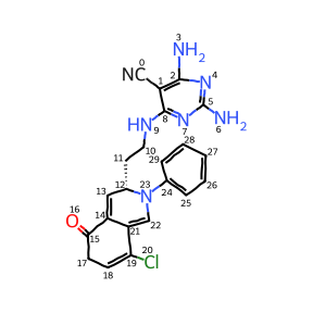 N#Cc1c(N)nc(N)nc1NCC[C@H]1C=C2C(=O)CC=C(Cl)C2=CN1c1ccccc1